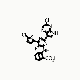 O=C(O)C1C2CCC(CC2)C1Nc1nc(-c2c[nH]c3nc(Cl)cnc23)nc(-c2ccc(Cl)s2)c1F